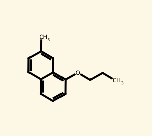 CCCOc1cccc2ccc(C)cc12